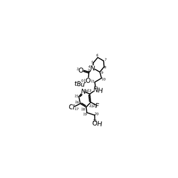 CC(C)(C)OC(=O)N1CCCCC1CCNc1ncc(Cl)c(CCO)c1F